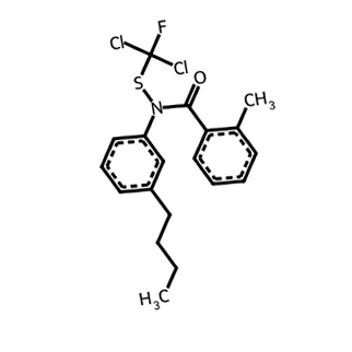 CCCCc1cccc(N(SC(F)(Cl)Cl)C(=O)c2ccccc2C)c1